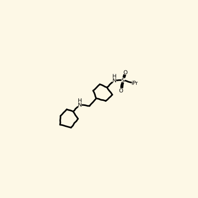 CC(C)S(=O)(=O)NC1CCC(CNC2CCCCC2)CC1